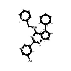 CC(=O)c1cncc(-c2nc(NCc3ccccn3)c3c(-c4ccccc4)ccn3n2)c1